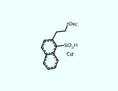 CCCCCCCCCCCCc1ccc2ccccc2c1S(=O)(=O)O.[Cd]